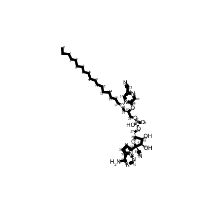 CCCCCCCCCCCCCCCCCCOC[C@H](COP(=O)(O)OC[C@H]1O[C@@](C#N)(c2ccc3c(N)ncnn23)[C@H](O)[C@@H]1O)Oc1cnc(C#N)cn1